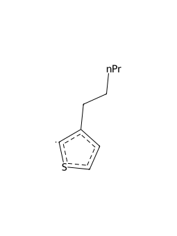 CCCCCc1[c]scc1